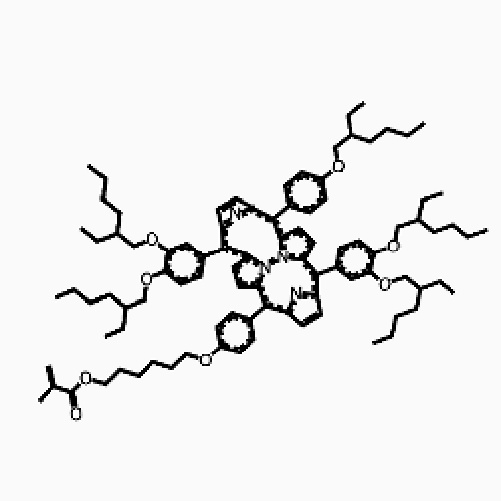 C=C(C)C(=O)OCCCCCCOc1ccc(-c2c3nc(c(-c4ccc(OCC(CC)CCCC)c(OCC(CC)CCCC)c4)c4ccc5c(-c6ccc(OCC(CC)CCCC)cc6)c6nc(c(-c7ccc(OCC(CC)CCCC)c(OCC(CC)CCCC)c7)c7ccc2n7n54)C=C6)C=C3)cc1